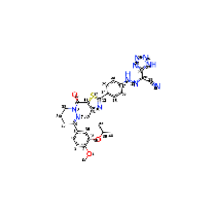 COc1ccc(C2=NN(C(=O)c3sc(-c4ccc(NN=C(C#N)c5nnn[nH]5)cc4)nc3C)CCC2)cc1OC(C)C